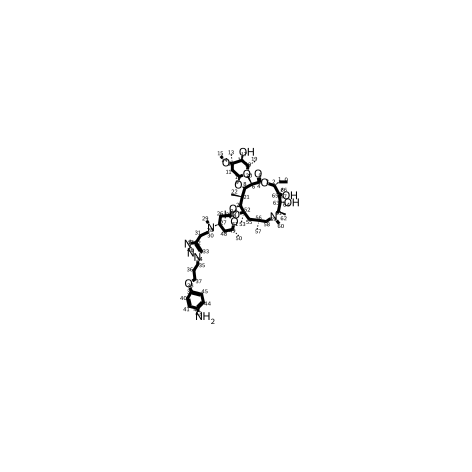 CC[C@H]1OC(=O)[C@H](C)[C@@H](O[C@H]2C[C@@](C)(OC)[C@@H](O)[C@H](C)O2)[C@H](C)[C@@H](O[C@H]2C[C@@H](N(C)CCc3cn(CCCOc4ccc(N)cc4)nn3)C[C@@H](C)O2)[C@](C)(O)C[C@@H](C)CN(C)[C@H](C)[C@@H](O)[C@]1(C)O